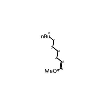 CCCCCCCC/C=C\OC